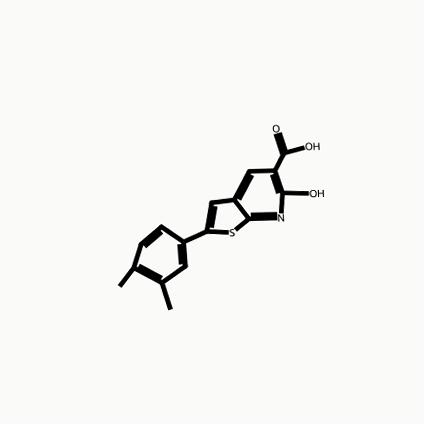 Cc1ccc(-c2cc3cc(C(=O)O)c(O)nc3s2)cc1C